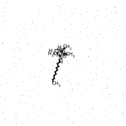 CCCCCCCCCCCCNC1=NC(C)(C)NC(NCC)(OC(C)=O)N1